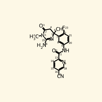 CN1C(=O)CC(C)(c2cc(NC(=O)c3ccc(C#N)cn3)ccc2F)N=C1N